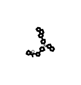 Cc1c(-c2cccc(-c3ccc(N(c4ccc(-c5ccc6c(ccc7ccccc76)c5)cc4)c4ccc5ccccc5c4)cc3)c2)oc2ccccc12